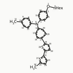 CCCCCCOc1ccc(N(c2ccc(C)cc2)c2ccc(-c3ccc(-c4ccc(C)s4)s3)cc2)cc1